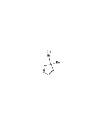 C#C[C]1([Re])C=CC=C1